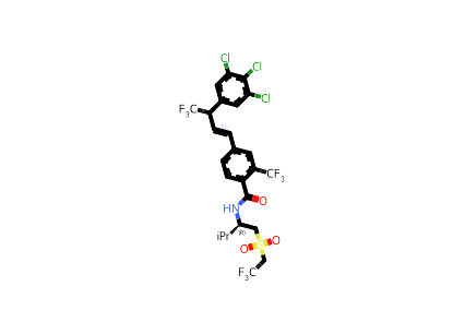 CC(C)[C@H](CS(=O)(=O)CC(F)(F)F)NC(=O)c1ccc(/C=C/C(c2cc(Cl)c(Cl)c(Cl)c2)C(F)(F)F)cc1C(F)(F)F